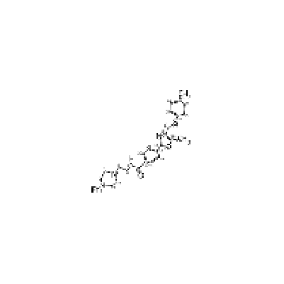 CCN1CCN(CCNC(=O)c2ccc(-c3nc(CSc4ccc(C)cc4)c(C)o3)cc2)CC1